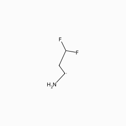 N[CH]CC(F)F